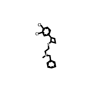 CN(CCSC1CCC1c1ccc(Cl)c(Cl)c1)Cc1ccccc1